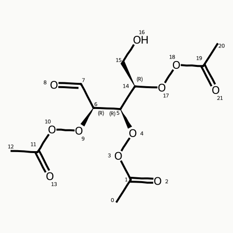 CC(=O)OO[C@@H]([C@H](C=O)OOC(C)=O)[C@@H](CO)OOC(C)=O